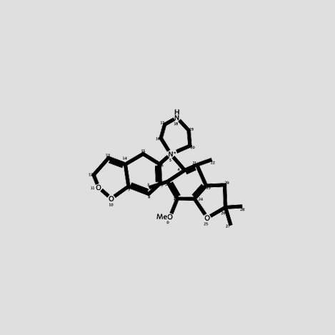 COc1c(C)c([N+]2(C3=CC=C4OOCC=C4C3)CCNCC2)c(C)c2c1OC(C)(C)C2